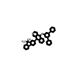 CC1(C)c2ccccc2-c2ccc(-c3c4ccccc4c(Oc4cc(-c5ccccc5)cc(-c5ccccc5)c4)c4ccncc34)cc21